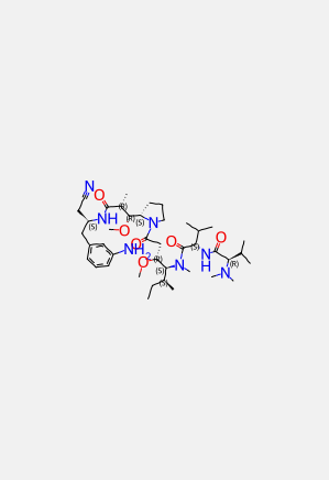 CC[C@H](C)[C@@H]([C@@H](CC(=O)N1CCC[C@H]1[C@H](OC)[C@@H](C)C(=O)N[C@H](CC#N)Cc1cccc(N)c1)OC)N(C)C(=O)[C@@H](NC(=O)[C@@H](C(C)C)N(C)C)C(C)C